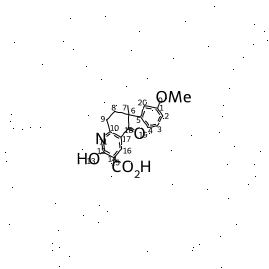 COc1cccc(C2(C)CCc3nc(O)c(C(=O)O)cc3C2=O)c1